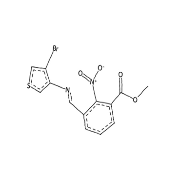 COC(=O)c1cccc(C=Nc2cscc2Br)c1[N+](=O)[O-]